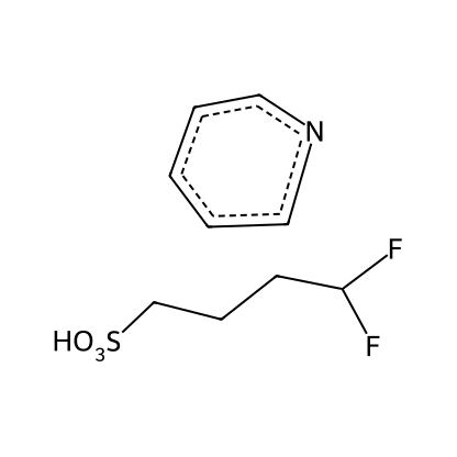 O=S(=O)(O)CCCC(F)F.c1ccncc1